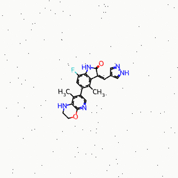 Cc1c(-c2cc(F)c3c(c2C)C(=Cc2cn[nH]c2)C(=O)N3)cnc2c1NCCO2